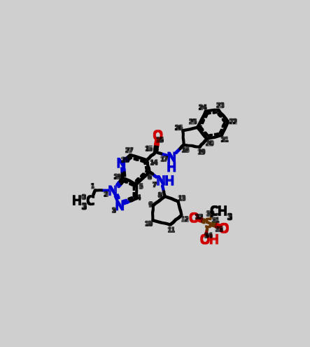 CCn1ncc2c(NC3CCCCC3)c(C(=O)NC3Cc4ccccc4C3)cnc21.CS(=O)(=O)O